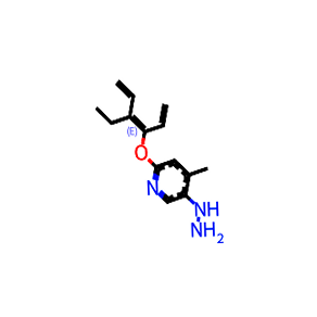 C=C/C(CC)=C(\C=C)Oc1cc(C)c(NN)cn1